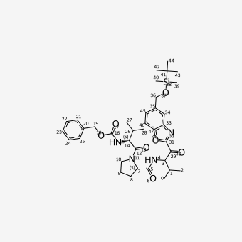 CC(C)C(NC(=O)[C@@H]1CCCN1C(=O)[C@@H](NC(=O)OCc1ccccc1)C(C)C)C(=O)c1nc2cc(CO[Si](C)(C)C(C)(C)C)ccc2o1